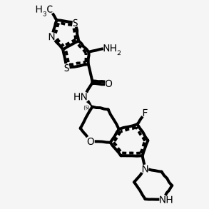 Cc1nc2sc(C(=O)N[C@@H]3COc4cc(N5CCNCC5)cc(F)c4C3)c(N)c2s1